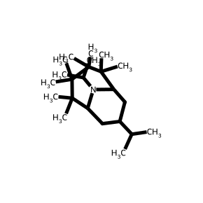 CC(C)C1CC2N(C(C)C)C(C1)C(C)(C)C(C)(C)C(C)(C)C2(C)C